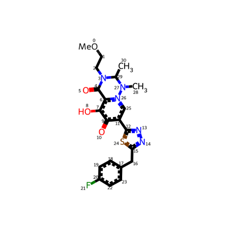 COCCN1C(=O)c2c(O)c(=O)c(-c3nnc(Cc4ccc(F)cc4)s3)cn2N(C)C1C